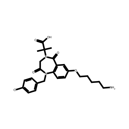 CC(C)(C(=O)O)N1CC(=O)N(Cc2ccc(Cl)cc2)c2ccc(OCCCCCN)cc2C1=O